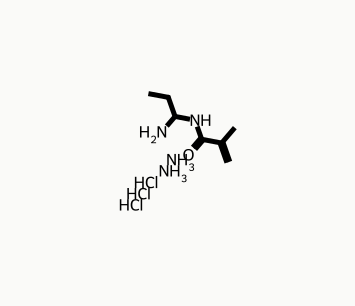 C=C(C)C(=O)NC(N)CC.Cl.Cl.Cl.N.N